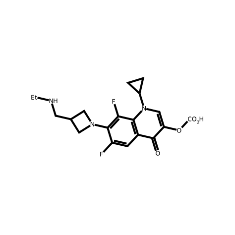 CCNCC1CN(c2c(F)cc3c(=O)c(OC(=O)O)cn(C4CC4)c3c2F)C1